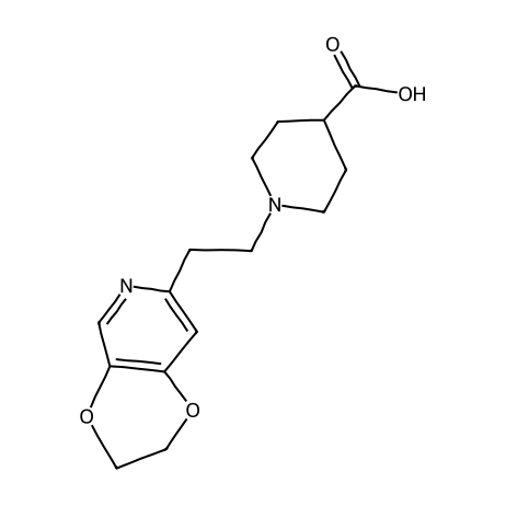 O=C(O)C1CCN(CCc2cc3c(cn2)OCCO3)CC1